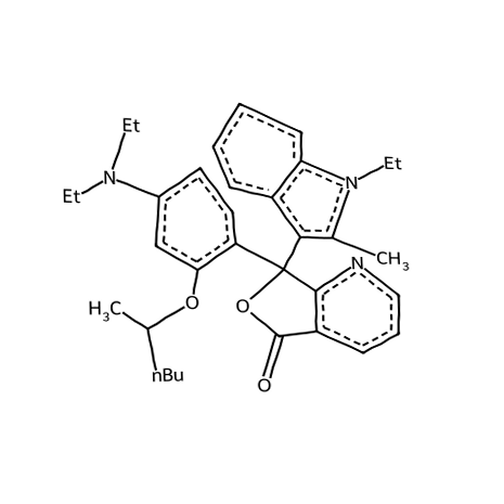 CCCCC(C)Oc1cc(N(CC)CC)ccc1C1(c2c(C)n(CC)c3ccccc23)OC(=O)c2cccnc21